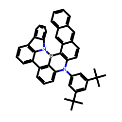 CC(C)(C)c1cc(N2c3cccc4c3B(c3c2ccc2cc5ccccc5cc32)n2c3ccccc3c3cccc-4c32)cc(C(C)(C)C)c1